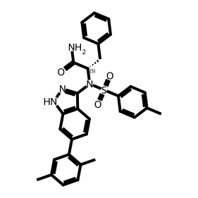 Cc1ccc(S(=O)(=O)N(c2n[nH]c3cc(-c4cc(C)ccc4C)ccc23)[C@@H](Cc2ccccc2)C(N)=O)cc1